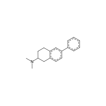 CN(C)C1CCc2cc(-c3ccccc3)ccc2C1